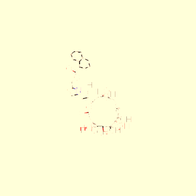 CC(=Cc1csc(COC(=O)c2cccc3ccccc23)n1)[C@@H]1C[C@@H]2O[C@@H]2CCC[C@H](C)[C@H](O)[C@@H](C)C(=O)C(C)(C)[C@@H](O)CC(=O)O1